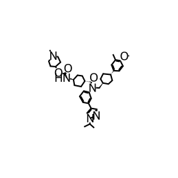 COc1ccc([C@H]2CC[C@H](CN(c3cccc(-c4cnn(C(C)C)c4)c3)C(=O)[C@H]3CC[C@H](NC(=O)OC4CCN(C)CC4)CC3)CC2)cc1C